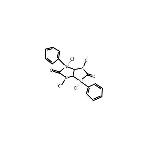 O=C1N(Cl)C2C(N(Cl)C(=O)[N@@+]2(Cl)c2ccccc2)[N@+]1(Cl)c1ccccc1